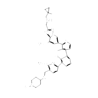 COc1nc(-c2cccc(-c3ccnc(-c4cc(OC)c5nc(CNCC6(O)CC6)nn5c4)c3Cl)c2Cl)ccc1CNC1CCN(C(C)=O)CC1